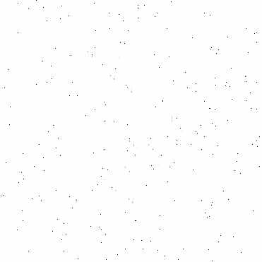 CNC(=O)c1ccc(OC)c(NCC#Cc2nc3c(N[C@@H]4CN(C)C[C@@H]4F)cccn3c2SC(F)(F)F)n1